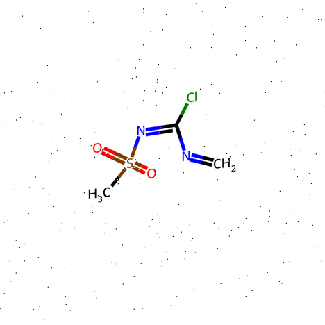 C=N/C(Cl)=N\S(C)(=O)=O